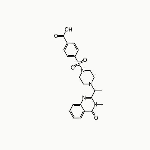 CC(c1nc2ccccc2c(=O)n1C)N1CCN(S(=O)(=O)c2ccc(C(=O)O)cc2)CC1